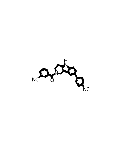 [C-]#[N+]c1ccc(-c2ccc3[nH]c4c(c3c2)CN(C(=O)c2cccc(C#N)c2)CC4)cc1